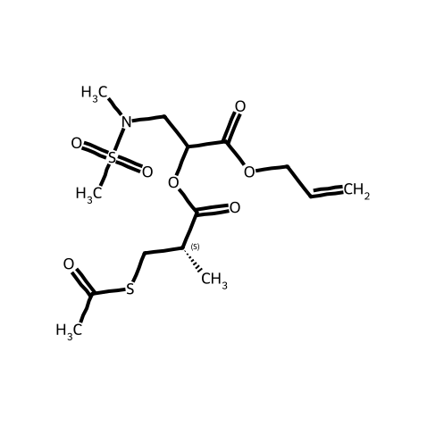 C=CCOC(=O)C(CN(C)S(C)(=O)=O)OC(=O)[C@H](C)CSC(C)=O